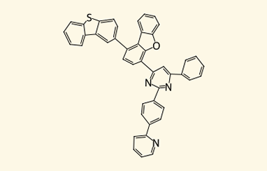 c1ccc(-c2cc(-c3ccc(-c4ccc5sc6ccccc6c5c4)c4c3oc3ccccc34)nc(-c3ccc(-c4ccccn4)cc3)n2)cc1